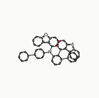 c1ccc(-c2ccc(N(c3cccc(-c4ccccc4)c3-c3cccc4sc5ccccc5c34)c3cccc4oc5ccccc5c34)cc2)cc1